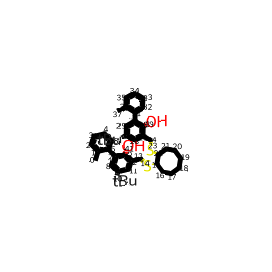 Cc1ccccc1-c1cc(C(C)(C)C)cc(CS[C@H]2CCCCCC[C@@H]2SCc2cc(C(C)(C)C)cc(-c3ccccc3C)c2O)c1O